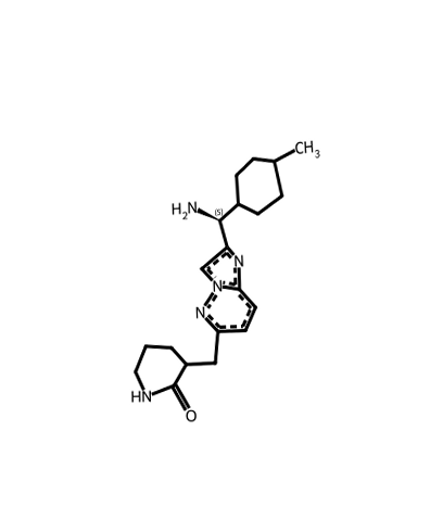 CC1CCC([C@H](N)c2cn3nc(CC4CCCNC4=O)ccc3n2)CC1